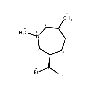 CCC(I)[C@@H]1CCC(C)CN(C)C1